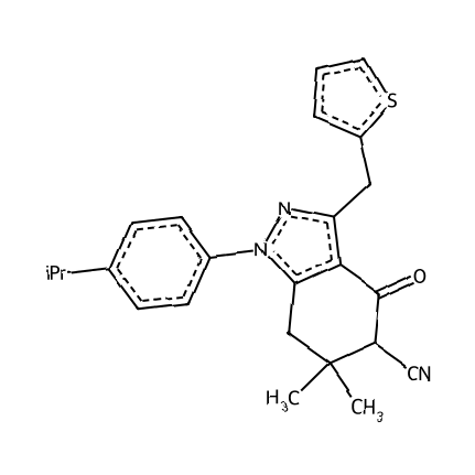 CC(C)c1ccc(-n2nc(Cc3cccs3)c3c2CC(C)(C)C(C#N)C3=O)cc1